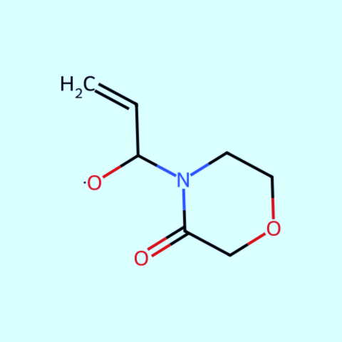 C=CC([O])N1CCOCC1=O